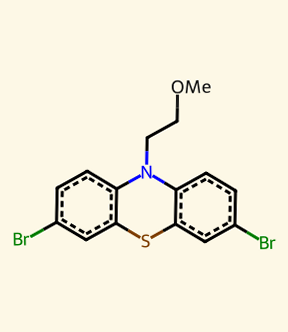 COCCN1c2ccc(Br)cc2Sc2cc(Br)ccc21